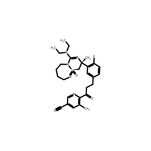 CCN(CC)C1=N[C@](C)(c2cc(CCC(=O)c3ncc(C#N)cc3C)ccc2F)C[S@@]2(=O)=NCCCCN12